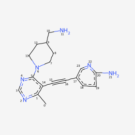 Cc1ncnc(N2CCC(CN)CC2)c1C#Cc1ccc(N)nc1